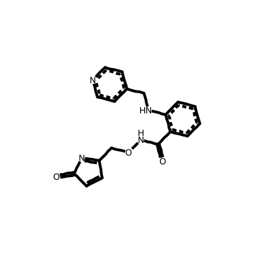 O=C1C=CC(CONC(=O)c2ccccc2NCc2ccncc2)=N1